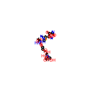 C=CCC1(C(C)CC)C(=O)NC(=O)NC1=O.CC(CN1c2ccccc2Sc2ccccc21)N(C)C.COc1ccc2cc([C@H](C)C(=O)O)ccc2c1.COc1cccc([C@@]2(O)CCCC[C@@H]2CN(C)C)c1.O=C(O)c1cccnc1.O=C1CC[C@@]2(O)[C@H]3Cc4ccc(O)c5c4[C@@]2(CCN3CC2CC2)[C@H]1O5